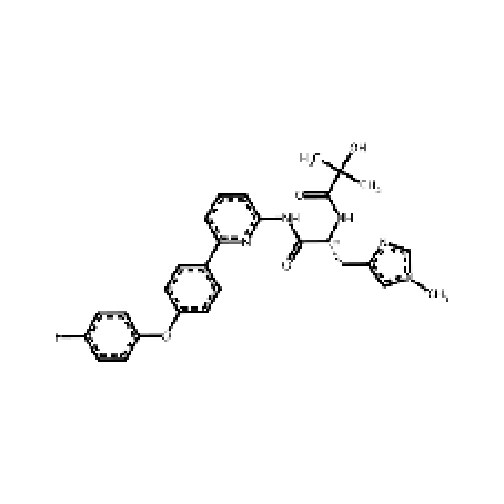 Cn1cnc(C[C@@H](NC(=O)C(C)(C)O)C(=O)Nc2cccc(-c3ccc(Oc4ccc(F)cc4)cc3)n2)c1